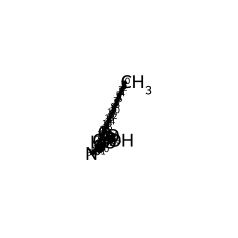 CCCCCCCCCCCCCCCCCCOCC(COP(=O)(O)O)Oc1cccc(C#N)c1